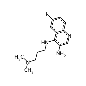 CN(C)CCCNc1c(N)cnc2ccc(I)cc12